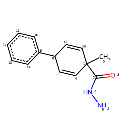 CC1(C(=O)NN)C=CC(c2ccccc2)C=C1